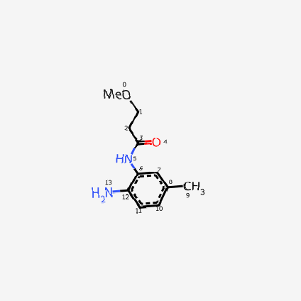 COCCC(=O)Nc1cc(C)ccc1N